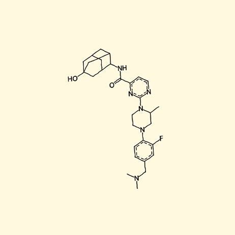 CC1CN(c2ccc(CN(C)C)cc2F)CCN1c1nccc(C(=O)NC2C3CC4CC2CC(O)(C4)C3)n1